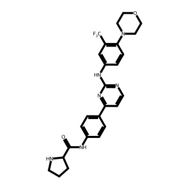 O=C(Nc1ccc(-c2ccnc(Nc3ccc(N4CCOCC4)c(C(F)(F)F)c3)n2)cc1)C1CCCN1